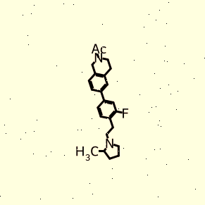 CC(=O)N1CCc2cc(-c3ccc(CCN4CCCC4C)c(F)c3)ccc2C1